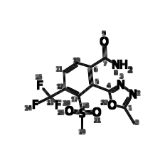 Cc1nnc(-c2c(C(N)=O)ccc(C(F)(F)F)c2S(C)(=O)=O)o1